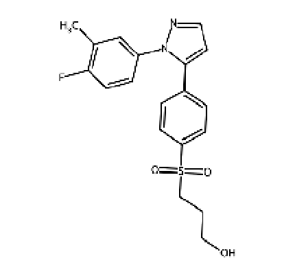 Cc1cc(-n2nccc2-c2ccc(S(=O)(=O)CCCO)cc2)ccc1F